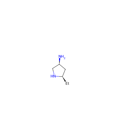 CC[C@@H]1C[C@H](N)CN1